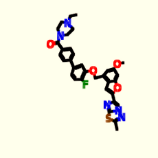 CCN1CCN(C(=O)c2ccc(-c3ccc(F)c(OCc4cc(OC)cc5oc(-c6cn7nc(C)sc7n6)cc45)c3)cc2)CC1